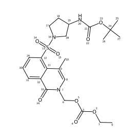 CCOC(=O)OCn1cc(C)c2c(S(=O)(=O)N3CCC(NC(=O)OC(C)(C)C)C3)cccc2c1=O